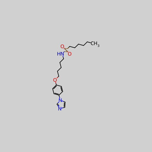 CCCCCCS(=O)(=O)NCCCCCOc1ccc(-n2ccnc2)cc1